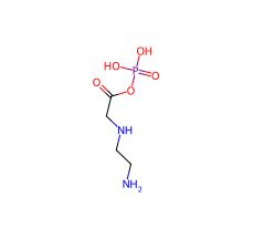 NCCNCC(=O)OP(=O)(O)O